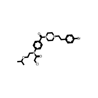 CC(C)OCCN(C(=O)CCl)c1ccc(C(=O)N2CCN(CCc3ccc(Br)cc3)CC2)cc1